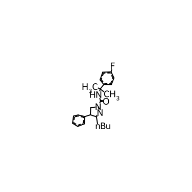 CCCCC1=NN(C(=O)NC(C)(C)c2ccc(F)cc2)CC1c1ccccc1